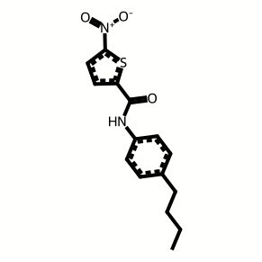 CCCCc1ccc(NC(=O)c2ccc([N+](=O)[O-])s2)cc1